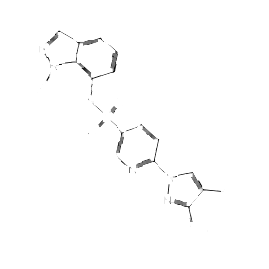 Cc1cn(-c2ccc(S(=O)(=O)Nc3cccc4cnn(C)c34)cn2)nc1C(F)(F)F